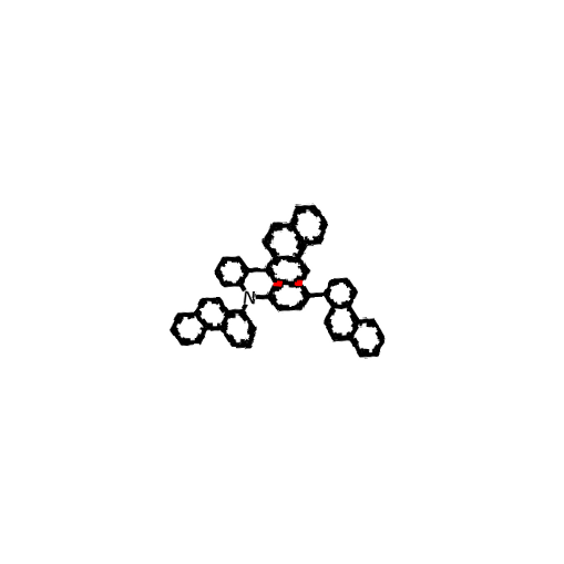 c1ccc(N(c2ccc(-c3cccc4c3ccc3ccccc34)cc2)c2cccc3c2ccc2ccccc23)c(-c2cccc3c2ccc2ccccc23)c1